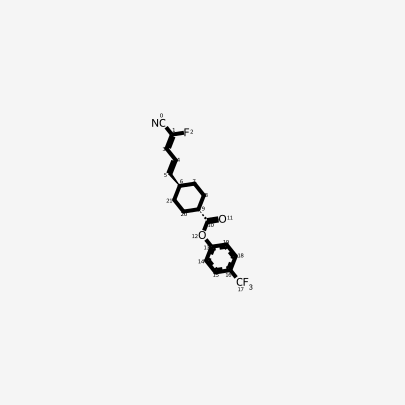 N#CC(F)=CC=C[C@H]1CC[C@H](C(=O)Oc2ccc(C(F)(F)F)cc2)CC1